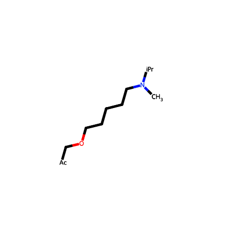 CC(=O)COCCCCCN(C)C(C)C